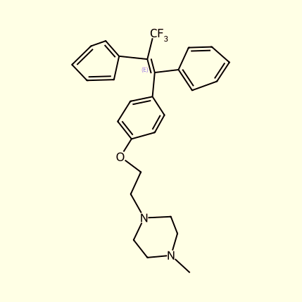 CN1CCN(CCOc2ccc(/C(=C(\c3ccccc3)C(F)(F)F)c3ccccc3)cc2)CC1